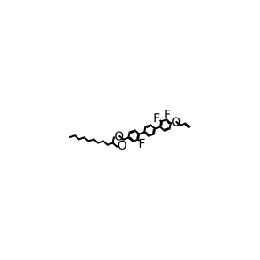 C=CCOc1ccc(-c2ccc(-c3ccc(C4OCC(CCCCCCCCC)CO4)cc3F)cc2)c(F)c1F